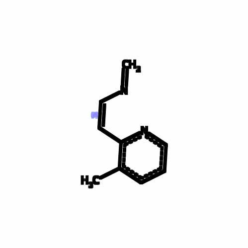 C=N/C=C\c1ncccc1C